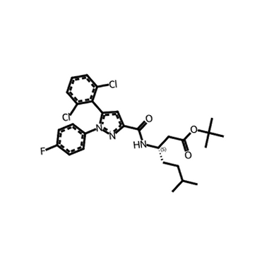 CC(C)CC[C@@H](CC(=O)OC(C)(C)C)NC(=O)c1cc(-c2c(Cl)cccc2Cl)n(-c2ccc(F)cc2)n1